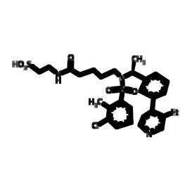 CCc1cnccc1-c1cccc([C@H](C)N(CCCCC(=O)NCCS(=O)(=O)O)S(=O)(=O)c2cccc(Cl)c2C)c1